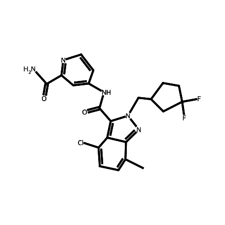 Cc1ccc(Cl)c2c(C(=O)Nc3ccnc(C(N)=O)c3)n(CC3CCC(F)(F)C3)nc12